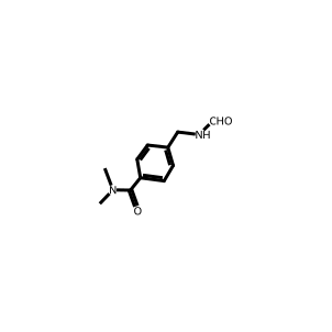 CN(C)C(=O)c1ccc(CNC=O)cc1